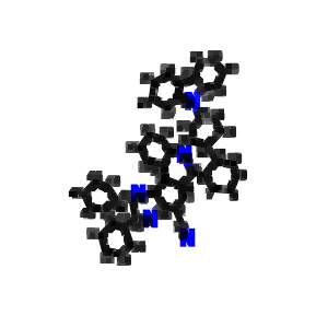 N#Cc1cc2c(-c3ccccc3-c3ccc(-n4c5ccccc5c5ccccc54)cc3)nc3ccccc3c2c2nc(-c3ccccc3)c(-c3ccccc3)nc12